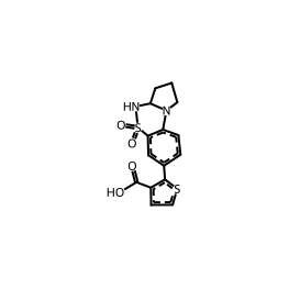 O=C(O)c1ccsc1-c1ccc2c(c1)S(=O)(=O)NC1CCCN21